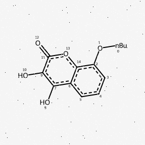 CCCCOc1cccc2c(O)c(O)c(=O)oc12